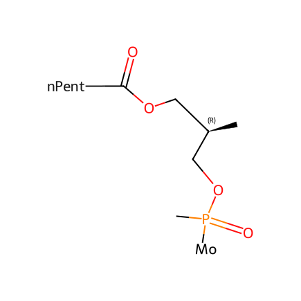 CCCCCC(=O)OC[C@@H](C)CO[P](C)(=O)[Mo]